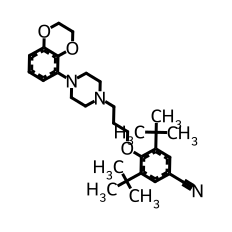 CC(C)(C)c1cc(C#N)cc(C(C)(C)C)c1OCCCN1CCN(c2cccc3c2OCCO3)CC1